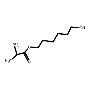 CC(N)C(=O)OCCCCCCO